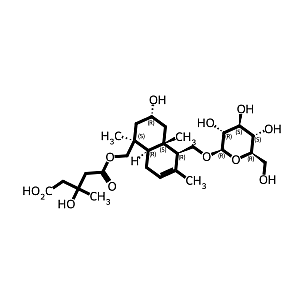 CC1=CC[C@H]2[C@@](C)(COC(=O)CC(C)(O)CC(=O)O)C[C@H](O)C[C@]2(C)[C@H]1CO[C@@H]1O[C@H](CO)[C@@H](O)[C@H](O)[C@H]1O